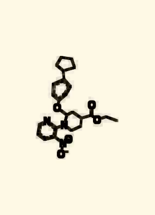 CCOC(=O)C1CCN(c2ncccc2[N+](=O)[O-])C(Oc2ccc(C3CCCC3)cc2)C1